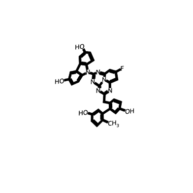 Cc1ccc(O)cc1-c1cc(O)ccc1CC1=NC2=CC(F)=CC3=NC(n4c5ccc(O)cc5c5cc(O)ccc54)=NC(=N1)N23